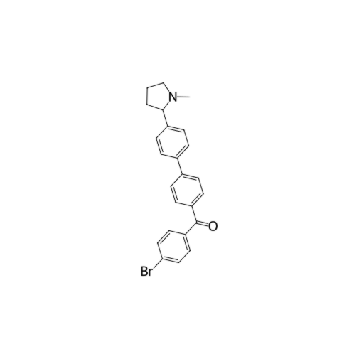 CN1CCCC1c1ccc(-c2ccc(C(=O)c3ccc(Br)cc3)cc2)cc1